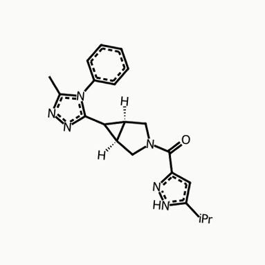 Cc1nnc(C2[C@H]3CN(C(=O)c4cc(C(C)C)[nH]n4)C[C@@H]23)n1-c1ccccc1